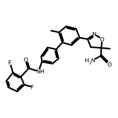 Cc1ccc(C2=NOC(C)(C(N)=O)C2)cc1-c1ccc(NC(=O)c2c(F)cccc2F)cc1